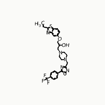 CCc1nc2cc(OC[C@@H](O)CN3CCN(Cc4noc(-c5ccc(C(F)(F)F)cc5)n4)CC3)ccc2s1